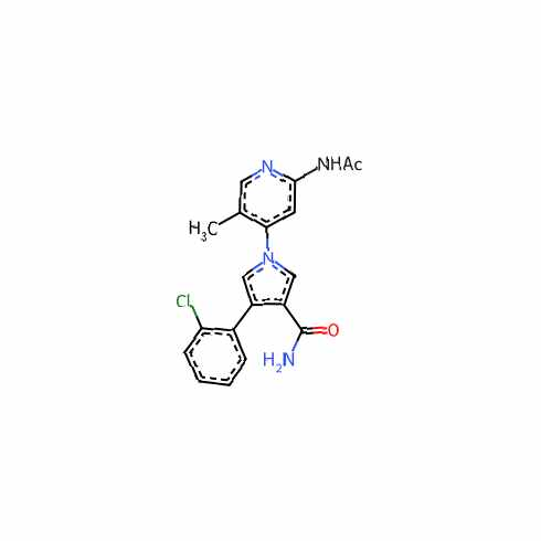 CC(=O)Nc1cc(-n2cc(C(N)=O)c(-c3ccccc3Cl)c2)c(C)cn1